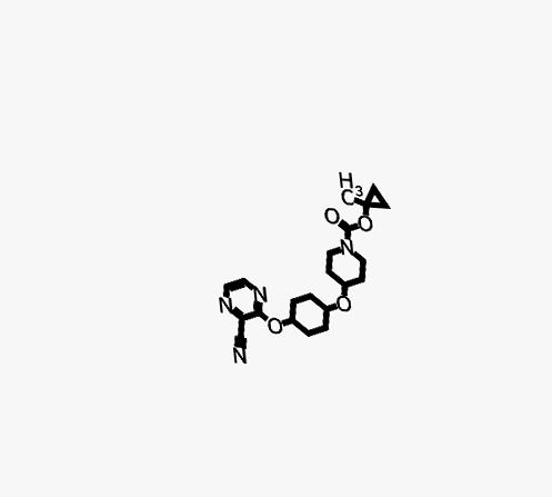 CC1(OC(=O)N2CCC(OC3CCC(Oc4nccnc4C#N)CC3)CC2)CC1